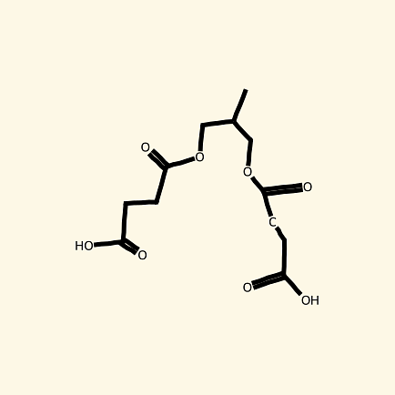 CC(COC(=O)CCC(=O)O)COC(=O)CCC(=O)O